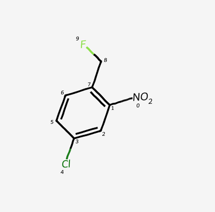 O=[N+]([O-])c1cc(Cl)ccc1CF